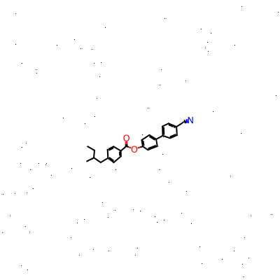 CCC(C)Cc1ccc(C(=O)Oc2ccc(-c3ccc(C#N)cc3)cc2)cc1